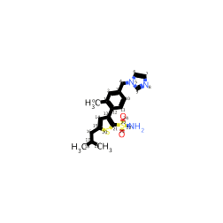 Cc1cc(Cn2ccnc2)ccc1-c1cc(CC(C)C)sc1S(N)(=O)=O